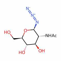 CC(=O)N[C@@H]1[C@@H](O)[C@H](O)[C@@H](CO)O[C@H]1N=[N+]=[N-]